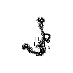 C=C1/C=C(OCCCCN2CCN(c3cccc4sccc34)CC2)\C=C/C/C=C\C(=O)N1COCOC(C)(C)C(=O)OCn1c(=O)ccc2ccc(OCCCCN3CCN(c4cccc5sccc45)CC3)cc21